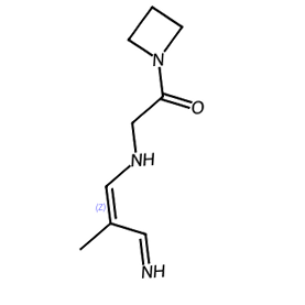 C/C(C=N)=C/NCC(=O)N1CCC1